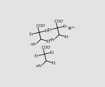 CCCC(CC)C(CC)(CC)C(=O)[O-].CCCC(CC)C(CC)(CC)C(=O)[O-].CCCC(CC)C(CC)(CC)C(=O)[O-].[Bi+3]